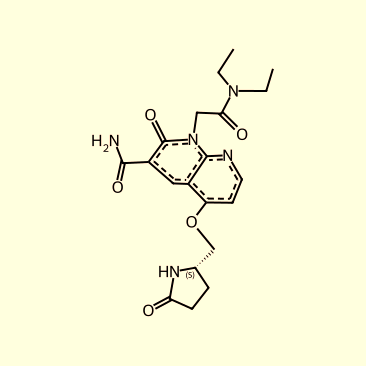 CCN(CC)C(=O)Cn1c(=O)c(C(N)=O)cc2c(OC[C@@H]3CCC(=O)N3)ccnc21